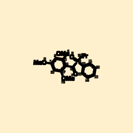 COc1cc(OC)c(C(=O)P(=O)(c2ccccc2)C(C)C)c(OC)c1